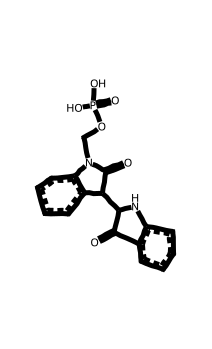 O=C1c2ccccc2NC1C1C(=O)N(COP(=O)(O)O)c2ccccc21